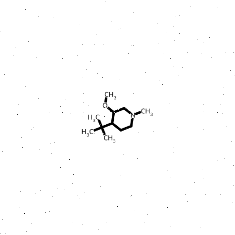 COC1CN(C)CCC1C(C)(C)C